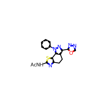 CC(=O)Nc1nc2c(s1)-c1c(c(-c3nnco3)nn1-c1ccccc1)CC2